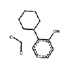 ClCCl.Oc1ccccc1C1CCCCC1